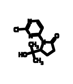 CC(C)(O)C1CCC(=O)N1c1ccnc(Cl)n1